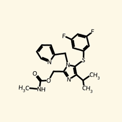 CNC(=O)OCc1nc(C(C)C)c(Sc2cc(F)cc(F)c2)n1Cc1ccccn1